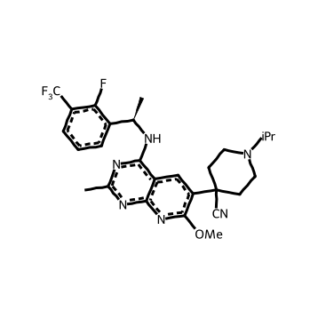 COc1nc2nc(C)nc(N[C@H](C)c3cccc(C(F)(F)F)c3F)c2cc1C1(C#N)CCN(C(C)C)CC1